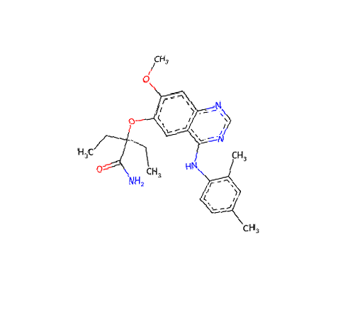 CCC(CC)(Oc1cc2c(Nc3ccc(C)cc3C)ncnc2cc1OC)C(N)=O